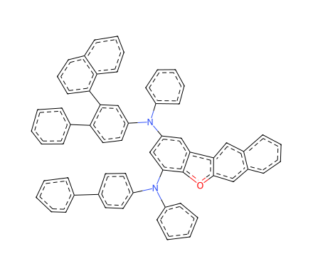 c1ccc(-c2ccc(N(c3ccccc3)c3cc(N(c4ccccc4)c4ccc(-c5ccccc5)c(-c5cccc6ccccc56)c4)cc4c3oc3cc5ccccc5cc34)cc2)cc1